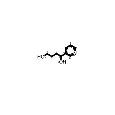 OCCCC(O)c1cccnc1